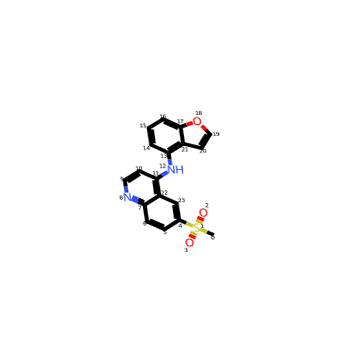 CS(=O)(=O)c1ccc2nccc(Nc3cccc4occc34)c2c1